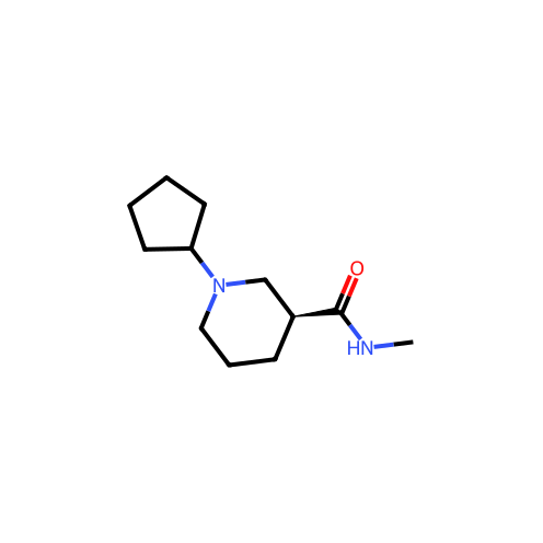 CNC(=O)[C@H]1CCCN(C2CCCC2)C1